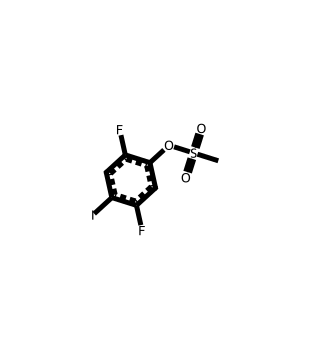 CS(=O)(=O)Oc1cc(F)c(I)cc1F